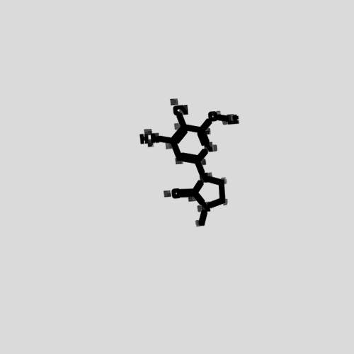 CCOc1nc(N2CCN(C)C2=O)cc(N)c1C#N